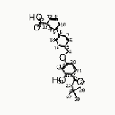 Cc1c(OCc2ccc(-c3cccc(C(=O)O)c3)cc2)ccc(C(=O)CC(C)(C)C)c1O